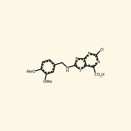 COc1ccc(CNc2nc3nc(Cl)nc(C(=O)O)c3s2)cc1OC